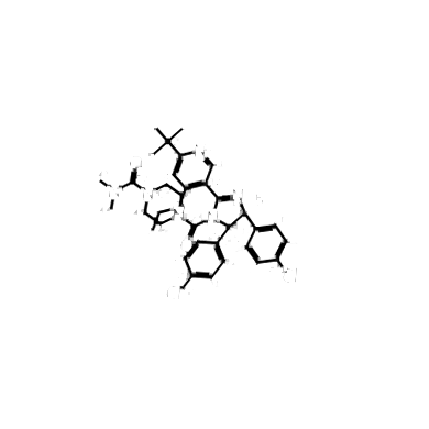 CCOc1cc(C(C)(C)C)ncc1C1=N[C@@](C)(c2ccc(Cl)cc2)[C@@](C)(c2ccc(Cl)cc2)N1C(=O)N1CCN(C(=O)N(C)C)CC1